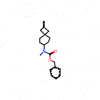 C=C1CC2(CCC(N(C)C(=O)OCc3ccccc3)CC2)C1